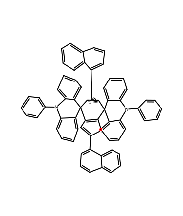 c1ccc(N2c3ccccc3C3(c4ccccc42)c2cc(-c4cccc5ccccc45)sc2C2(c4ccccc4N(c4ccccc4)c4ccccc42)c2cc(-c4cccc5ccccc45)sc23)cc1